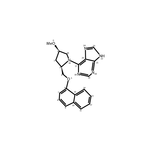 CO[C@@H]1C[C@H](COc2cccc3ccccc23)N(c2ncnc3[nH]cnc23)C1